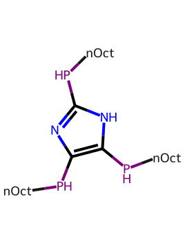 CCCCCCCCPc1nc(PCCCCCCCC)c(PCCCCCCCC)[nH]1